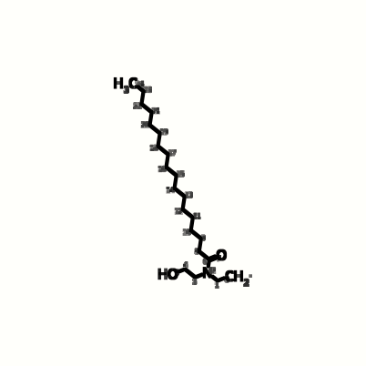 [CH2]CN(CCO)C(=O)CCCCCCCCCCCCCCCCC